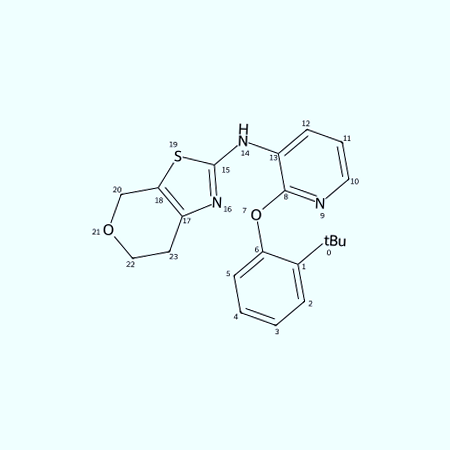 CC(C)(C)c1ccccc1Oc1ncccc1Nc1nc2c(s1)COCC2